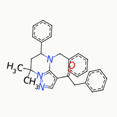 CC1(C)CC(c2ccccc2)N(Cc2ccccc2)c2c(C(=O)Cc3ccccc3)cnn21